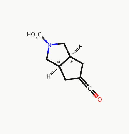 O=C=C1C[C@@H]2CN(C(=O)O)C[C@@H]2C1